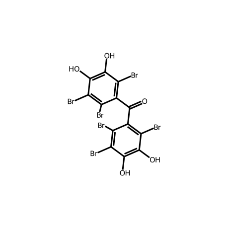 O=C(c1c(Br)c(O)c(O)c(Br)c1Br)c1c(Br)c(O)c(O)c(Br)c1Br